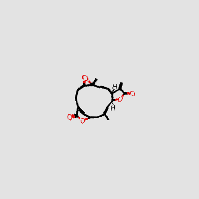 C=C1C(=O)O[C@H]2/C=C(\C)CC3C=C(CCC4OC4(C)CC[C@H]12)C(=O)O3